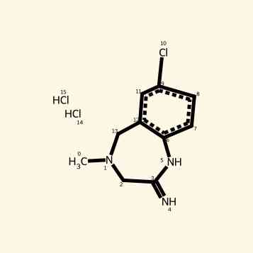 CN1CC(=N)Nc2ccc(Cl)cc2C1.Cl.Cl